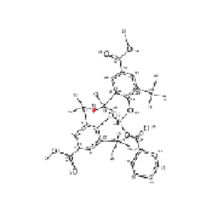 COC(=O)c1cc(C(C)(C)C)c(OP(OC(=O)c2ccccc2)Oc2c(C(C)(C)C)cc(C(=O)OC)cc2C(C)(C)C)c(C(C)(C)C)c1